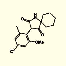 COc1cc(Cl)cc(C)c1C1C(=O)NC2(CCCCC2)C1=O